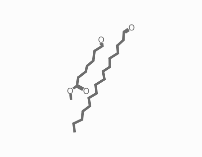 CCCCCCCCCCCCCCCC=O.COC(=O)CCCCCC=O